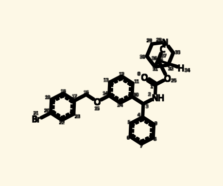 O=C(NC(c1ccccc1)c1cccc(OCc2ccc(Br)cc2)c1)O[C@H]1CN2CCC1CC2